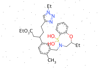 CCOC(=O)CC(CCc1cn(CC)nn1)c1ccc(C)c(CN2CC(CC)Oc3ccccc3S2(O)O)c1